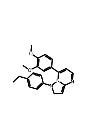 CCc1ccc(N2CC=C3N=CC=C(c4ccc(OC)c(OC)c4)N32)cc1